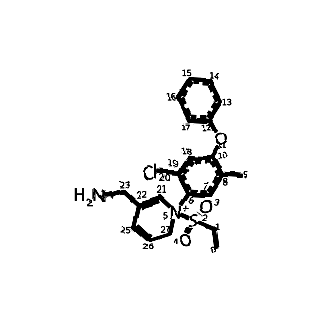 CCS(=O)(=O)[N+]1(c2cc(C)c(Oc3ccccc3)cc2Cl)C=C(CN)C=CC1